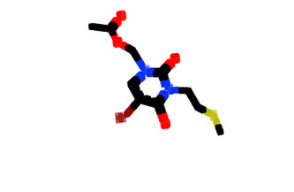 CSCCn1c(=O)c(Br)cn(COC(C)=O)c1=O